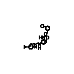 O=C(Nc1cc(NCc2cn3cc(C4CC4)ccc3n2)ccn1)OCc1cccc(Cl)c1